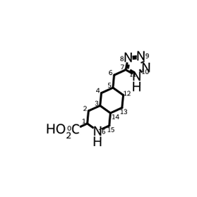 O=C(O)C1CC2CC(Cc3nnn[nH]3)CCC2CN1